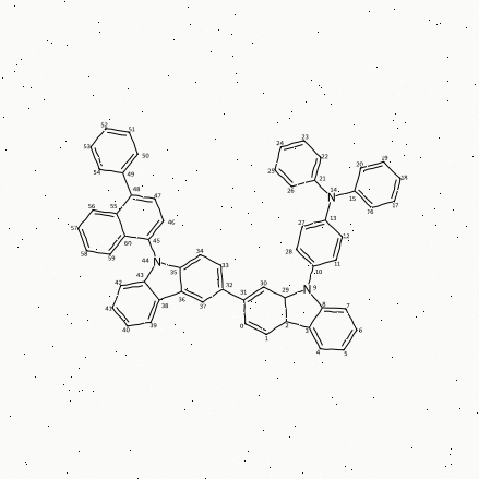 C1=CC2c3ccccc3N(c3ccc(N(c4ccccc4)c4ccccc4)cc3)C2C=C1c1ccc2c(c1)c1ccccc1n2-c1ccc(-c2ccccc2)c2ccccc12